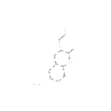 CCOC(=O)C=Cc1cc2cc(OC)ccc2[nH]c1=O